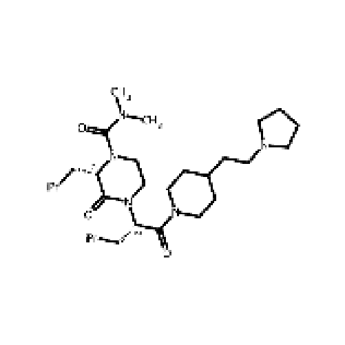 CC(C)C[C@@H](C(=O)N1CCC(CCN2CCCC2)CC1)N1CCN(C(=O)N(C)C)[C@@H](CC(C)C)C1=O